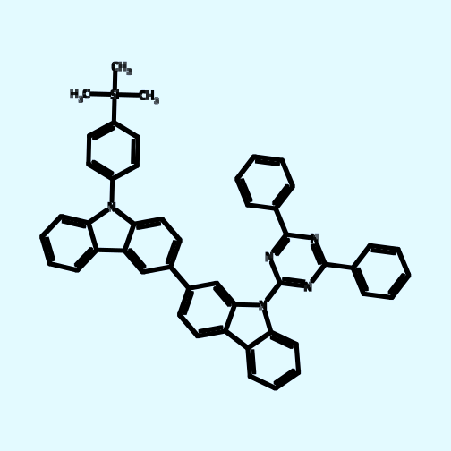 C[Si](C)(C)c1ccc(-n2c3ccccc3c3cc(-c4ccc5c6ccccc6n(-c6nc(-c7ccccc7)nc(-c7ccccc7)n6)c5c4)ccc32)cc1